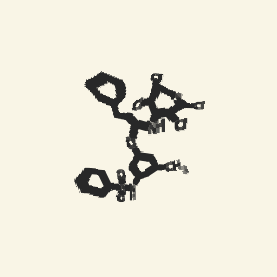 Cc1cc(NS(=O)(=O)c2ccccc2)cc(OC(CCc2ccccc2)Nc2c(Cl)c(Cl)nc(Cl)c2Cl)c1